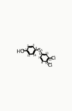 Oc1ccc(Sc2ccc(Cl)c(Cl)c2)cc1